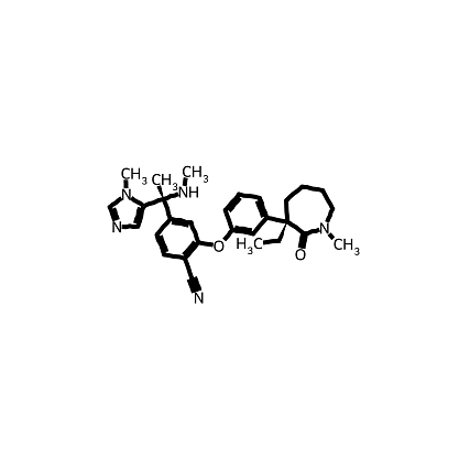 CC[C@@]1(c2cccc(Oc3cc([C@@](C)(NC)c4cncn4C)ccc3C#N)c2)CCCCN(C)C1=O